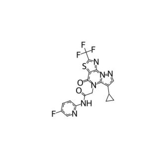 O=C(Cn1c(=O)c2sc(C(F)(F)F)nc2n2ncc(C3CC3)c12)Nc1ccc(F)cn1